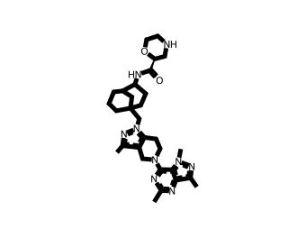 Cc1nc(N2CCc3c(c(C)nn3CC34CCCC(C3)C(NC(=O)[C@@H]3CNCCO3)CC4)C2)c2c(n1)c(C)nn2C